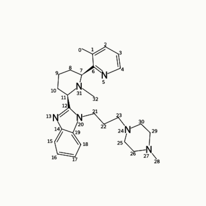 Cc1cccnc1[C@@H]1CCC[C@H](c2nc3ccccc3n2CCCN2CCN(C)CC2)N1C